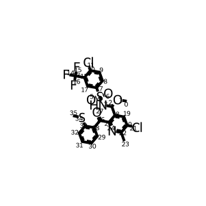 COC(NS(=O)(=O)c1ccc(Cl)c(C(F)(F)F)c1)c1cc(Cl)c(C)nc1C(=O)c1ccccc1SC